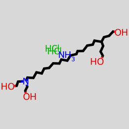 Cl.Cl.N.OCCCC(CCCO)CCCCCCCCCCCCCCCCCN(CCO)CCO